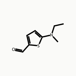 CCN(C)c1ccc(C=O)s1